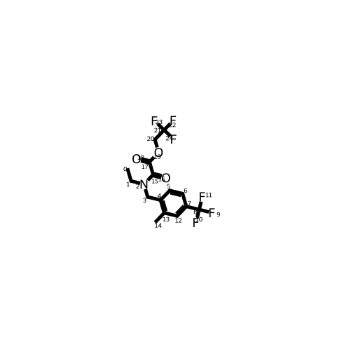 CCN(Cc1ccc(C(F)(F)F)cc1C)C(=O)C(=O)OCC(F)(F)F